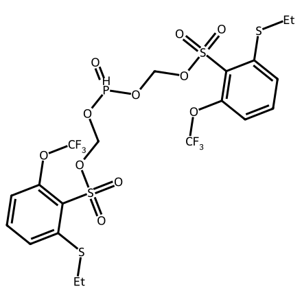 CCSc1cccc(OC(F)(F)F)c1S(=O)(=O)OCO[PH](=O)OCOS(=O)(=O)c1c(OC(F)(F)F)cccc1SCC